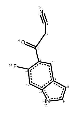 N#CCC(=O)c1cc2cc[nH]c2cc1F